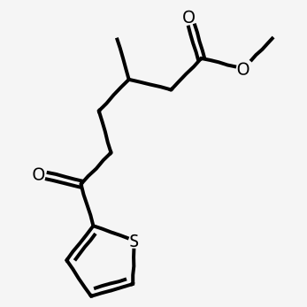 COC(=O)CC(C)CCC(=O)c1cccs1